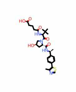 Cc1ncsc1-c1ccc([C@H](C)NC(=O)[C@@H]2C[C@@H](O)CN2C(=O)C(NC(=O)CCCC(=O)O)C(C)(C)C)cc1